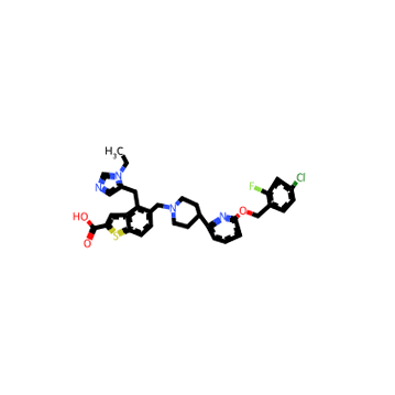 CCn1cncc1Cc1c(CN2CCC(c3cccc(OCc4ccc(Cl)cc4F)n3)CC2)ccc2sc(C(=O)O)cc12